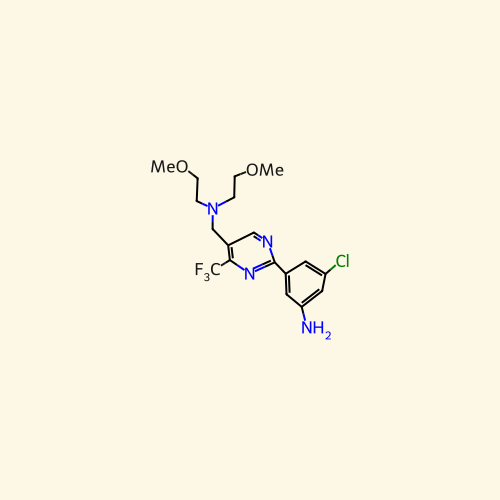 COCCN(CCOC)Cc1cnc(-c2cc(N)cc(Cl)c2)nc1C(F)(F)F